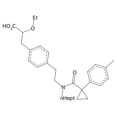 CCCCCCCN(CCc1ccc(CC(OCC)C(=O)O)cc1)C(=O)C1(c2ccc(C)cc2)CC1